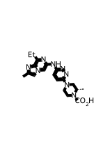 CCc1nc(Nc2ccc(N3CCN(C(=O)O)[C@@H](C)C3)nn2)cn2cc(C)nc12